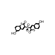 O=c1sc2ccc(O)cc2cc1S(=O)(=O)c1cc2cc(O)ccc2sc1=O